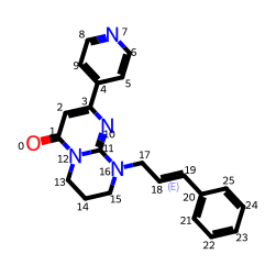 O=c1cc(-c2ccncc2)nc2n1CCCN2C/C=C/c1ccccc1